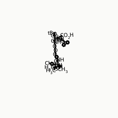 Cc1sc2c(c1C)C(c1ccc(Cl)cc1)=N[C@@H](CC(=O)Nc1ccc(OCCOCCOCCNC(=O)C(CCC(=O)OC(C)(C)C)NC(=O)C(CCC(=O)O)NC(=O)OCC3c4ccccc4-c4ccccc43)cc1)c1nnc(C)n1-2